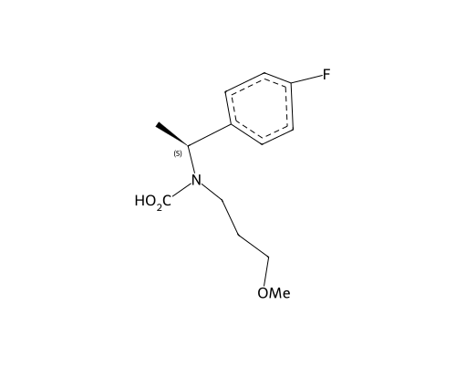 COCCCN(C(=O)O)[C@@H](C)c1ccc(F)cc1